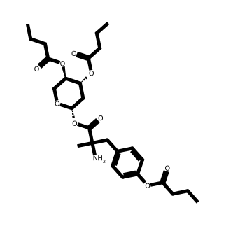 CCCC(=O)Oc1ccc(CC(C)(N)C(=O)O[C@H]2C[C@@H](OC(=O)CCC)[C@H](OC(=O)CCC)CO2)cc1